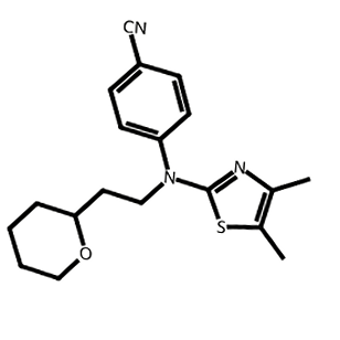 Cc1nc(N(CCC2CCCCO2)c2ccc(C#N)cc2)sc1C